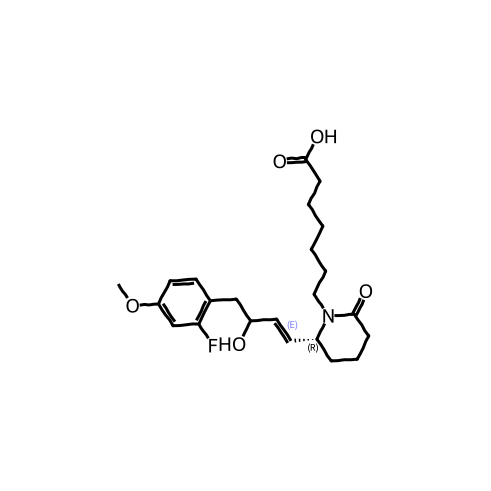 COc1ccc(CC(O)/C=C/[C@H]2CCCC(=O)N2CCCCCCC(=O)O)c(F)c1